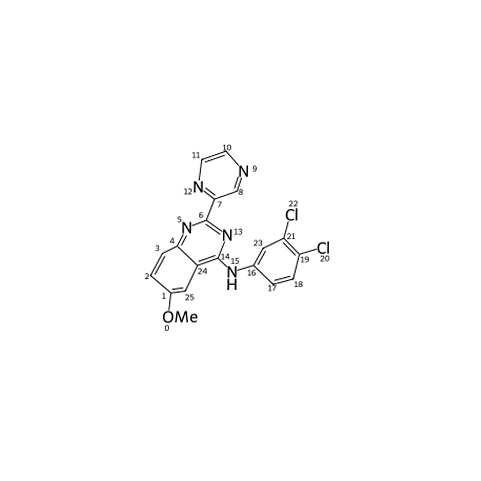 COc1ccc2nc(-c3cnccn3)nc(Nc3ccc(Cl)c(Cl)c3)c2c1